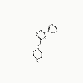 C1=CCCC(C2=COC=C(CCN3CCNCC3)O2)=C1